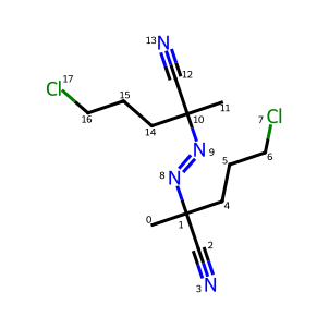 CC(C#N)(CCCCl)N=NC(C)(C#N)CCCCl